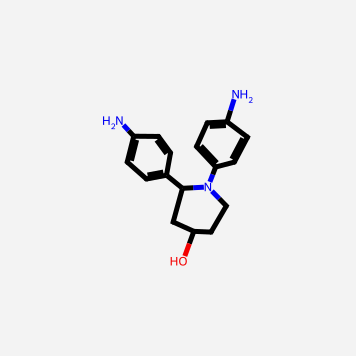 Nc1ccc(C2CC(O)CCN2c2ccc(N)cc2)cc1